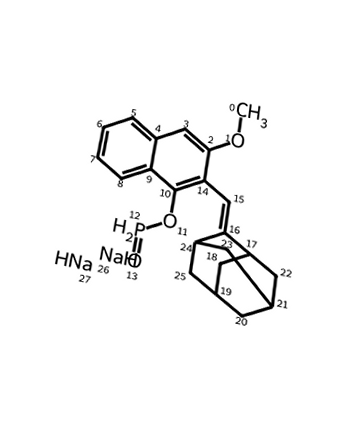 COc1cc2ccccc2c(O[PH2]=O)c1C=C1C2CC3CC(C2)CC1C3.[NaH].[NaH]